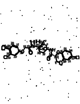 C[C@H]1CC2(NC(=O)[C@H]3COc4cc(Cl)ccc4O3)CCC1(NC(=O)COc1ccc(Cl)c(Cl)c1)CC2